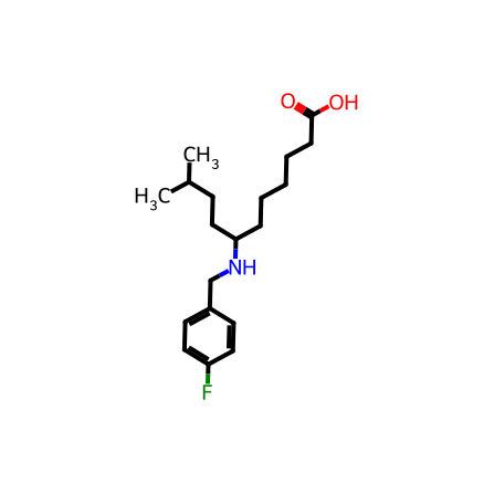 CC(C)CCC(CCCCCC(=O)O)NCc1ccc(F)cc1